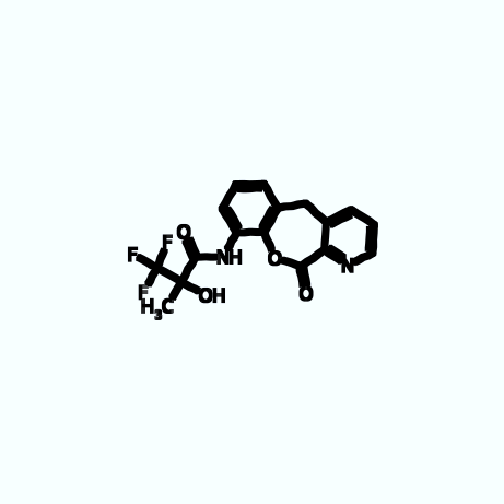 CC(O)(C(=O)Nc1cccc2c1OC(=O)c1ncccc1C2)C(F)(F)F